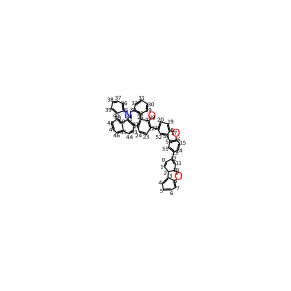 C1=CC2c3ccccc3OC2C=C1c1ccc2oc3ccc(-c4cccc5c4oc4cccc(N(c6ccccc6)c6cccc7ccccc67)c45)cc3c2c1